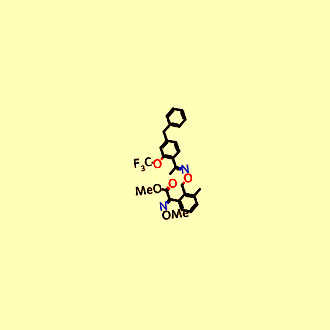 CO/N=C(/C(=O)OC)c1cccc(C)c1CO/N=C(\C)c1ccc(Cc2ccccc2)cc1OC(F)(F)F